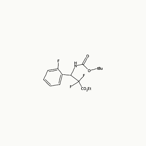 CCOC(=O)C(F)(F)C(NC(=O)OC(C)(C)C)c1ccccc1F